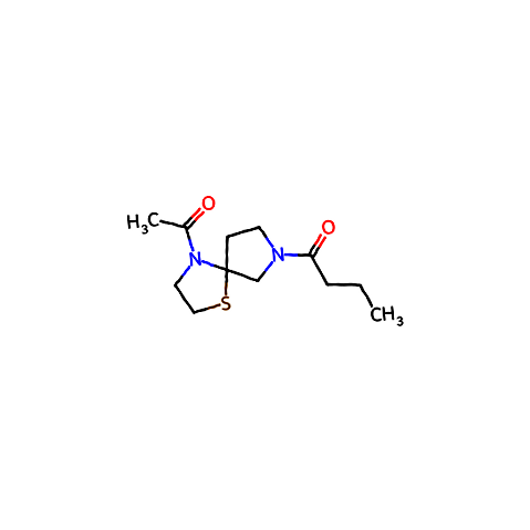 CCCC(=O)N1CCC2(C1)SCCN2C(C)=O